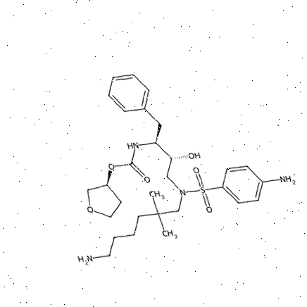 CC(C)(CCCCN)CN(C[C@@H](O)[C@H](Cc1ccccc1)NC(=O)O[C@H]1CCOC1)S(=O)(=O)c1ccc(N)cc1